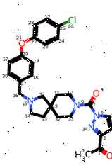 CC(=O)c1ccn(C(=O)N2CCC3(CCN(Cc4ccc(Oc5ccc(Cl)cc5)cc4)C3)CC2)n1